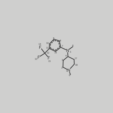 CN1CCC(N(C)c2cccc(C(F)(F)F)c2)CC1